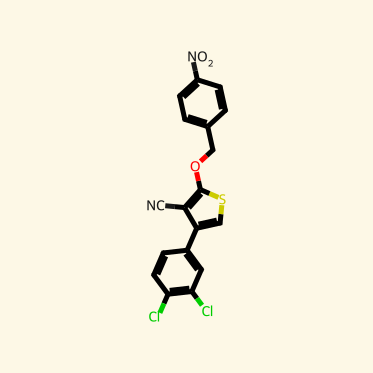 N#Cc1c(-c2ccc(Cl)c(Cl)c2)csc1OCc1ccc([N+](=O)[O-])cc1